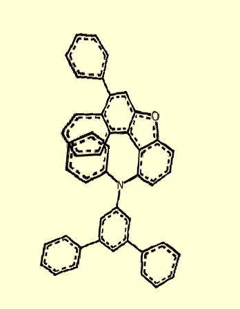 c1ccc(-c2cc(-c3ccccc3)cc(N(c3ccccc3)c3cccc4oc5cc(-c6ccccc6)c6ccccc6c5c34)c2)cc1